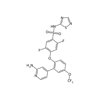 Nc1cc(-c2cc(OC(F)(F)F)ccc2Oc2cc(F)c(S(=O)(=O)Nc3ncns3)cc2F)ccn1